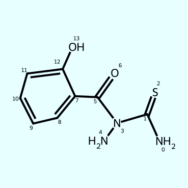 NC(=S)N(N)C(=O)c1ccccc1O